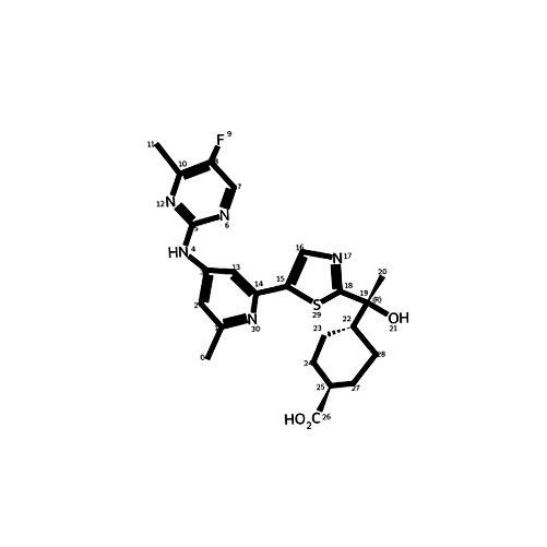 Cc1cc(Nc2ncc(F)c(C)n2)cc(-c2cnc([C@](C)(O)[C@H]3CC[C@H](C(=O)O)CC3)s2)n1